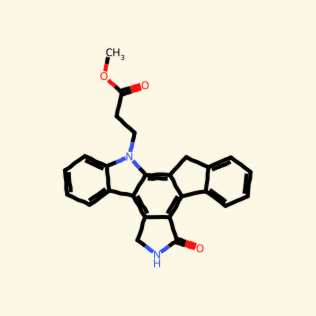 COC(=O)CCn1c2ccccc2c2c3c(c4c(c21)Cc1ccccc1-4)C(=O)NC3